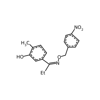 CCC(=NOCc1ccc([N+](=O)[O-])cc1)c1ccc(C)c(O)c1